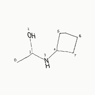 CC(O)NC1CCC1